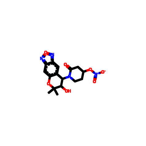 CC1(C)Oc2cc3nonc3cc2C(N2CCC(O[N+](=O)[O-])CC2=O)C1O